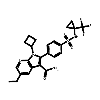 CCc1cnc2c(c1)c(C(N)=O)c(-c1ccc(S(=O)(=O)NC3(C(F)(F)F)CC3)cc1)n2C1CCC1